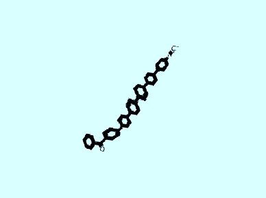 [C-]#[N+]c1ccc(-c2ccc(-c3ccc(-c4ccc(-c5ccc(-c6ccc(C(=O)c7ccccc7)cc6)cc5)cc4)cc3)cc2)cc1